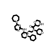 O=C(C1CNCCO1)N(CC[C@@H]1[C@@H](NC2=NC(N3CCCCCC3)CC=N2)CCCN1C1CCCCC1)C1CCOCC1